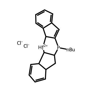 CCCCP1C2=Cc3ccccc3[CH]2[Hf+2][CH]2C3C=CC=CC3CC21.[Cl-].[Cl-]